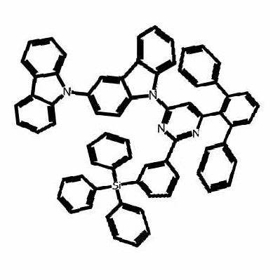 c1ccc(-c2cccc(-c3ccccc3)c2-c2cc(-n3c4ccccc4c4cc(-n5c6ccccc6c6ccccc65)ccc43)nc(-c3cccc([Si](c4ccccc4)(c4ccccc4)c4ccccc4)c3)n2)cc1